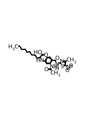 CCCCCCCCCC(Nc1ccc(C(=O)Nc2nc(C)c([N+](=O)[O-])s2)c(NC(C)=O)c1)C(=O)O